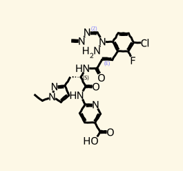 C=N/N=C\N(N)c1ccc(Cl)c(F)c1/C=C/C(=O)N[C@@H](Cc1ccn(CC)n1)C(=O)Nc1ccc(C(=O)O)cn1